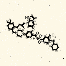 C=C(C)CCC1=C(CN2CCN(c3ccc(C(=O)NS(=O)(=O)c4ccc(NC5CCCCC5)c([N+](=O)[O-])c4)c(Oc4cnc5[nH]ccc5c4)c3)CC2)CCC(C)(C)C1